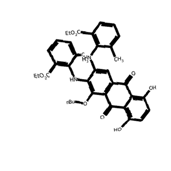 CCCCOc1c(Nc2c(C)cccc2C(=O)OCC)c(Nc2c(C)cccc2C(=O)OCC)cc2c1C(=O)c1c(O)ccc(O)c1C2=O